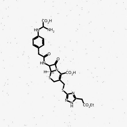 CCOC(=O)Cc1nc(SCC2=C(C(=O)O)N3C(=O)C(NC(=O)Cc4ccc(NC(N)C(=O)O)cc4)[C@@H]3SC2)n[nH]1